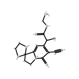 CCOC(=O)C(Br)c1cc2n(c(=O)c1C#N)CCC21OCCO1